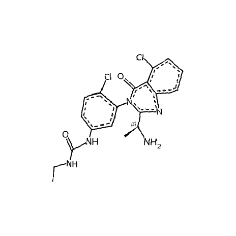 CCNC(=O)Nc1ccc(Cl)c(-n2c([C@H](C)N)nc3cccc(Cl)c3c2=O)c1